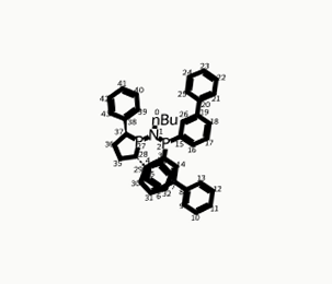 CCCCN(P(c1cccc(-c2ccccc2)c1)c1cccc(-c2ccccc2)c1)P1[C@H](c2ccccc2)CC[C@H]1c1ccccc1